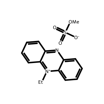 CC[n+]1c2ccccc2nc2ccccc21.COS(=O)(=O)[O-]